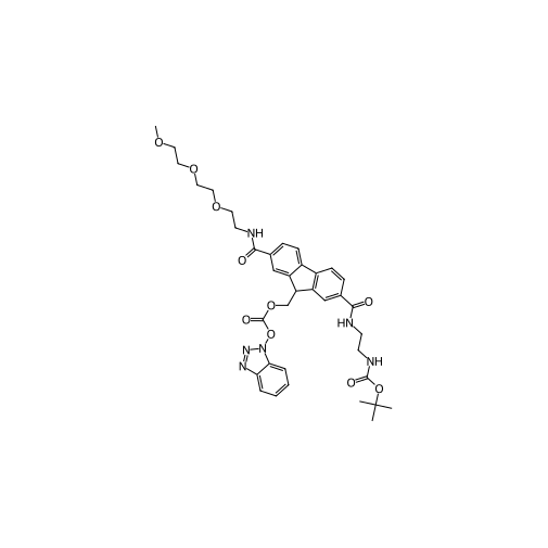 COCCOCCOCCNC(=O)c1ccc2c(c1)C(COC(=O)On1nnc3ccccc31)c1cc(C(=O)NCCNC(=O)OC(C)(C)C)ccc1-2